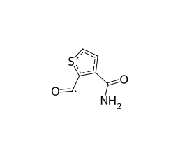 NC(=O)c1ccsc1[C]=O